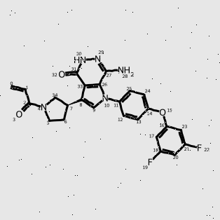 C=CC(=O)N1CC[C@H](c2cn(-c3ccc(Oc4cc(F)cc(F)c4)cc3)c3c(N)n[nH]c(=O)c23)C1